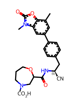 Cc1cc(-c2ccc(C[C@@H](C#N)NC(=O)C3CN(C(=O)O)CCCO3)cc2)cc2c1oc(=O)n2C